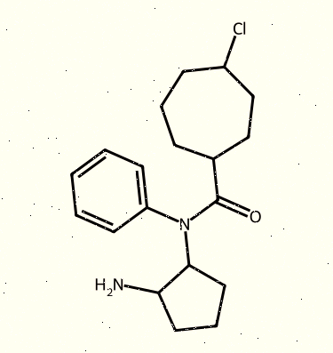 NC1CCCC1N(C(=O)C1CCCC(Cl)CC1)c1ccccc1